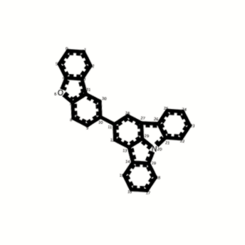 c1ccc2c(c1)oc1ccc(-c3cc4c5ccccc5n5c6ccccc6c(c3)c45)cc12